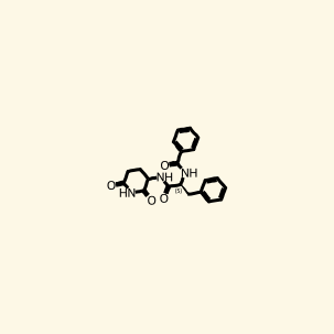 O=C1CCC(NC(=O)[C@H](Cc2ccccc2)NC(=O)c2ccccc2)C(=O)N1